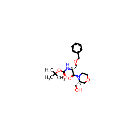 CC(C)(C)OC(=O)N[C@H](COCc1ccccc1)C(=O)N1CCOC[C@@H]1CO